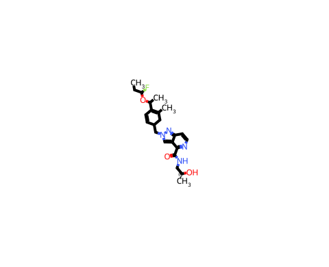 CCC(F)OC(C)C1=C(C)CC(Cn2cc3c(C(=O)NC[C@@H](C)O)nccc3n2)C=C1